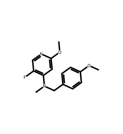 COc1ccc(CN(C)c2cc(OC)ncc2F)cc1